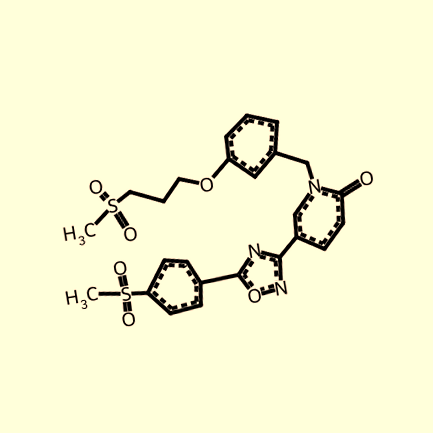 CS(=O)(=O)CCCOc1cccc(Cn2cc(-c3noc(-c4ccc(S(C)(=O)=O)cc4)n3)ccc2=O)c1